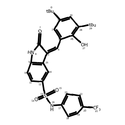 CC(C)(C)c1cc(C=C2C(=O)Nc3ccc(S(=O)(=O)Nc4ccc(C(F)(F)F)cc4)cc32)c(O)c(C(C)(C)C)c1